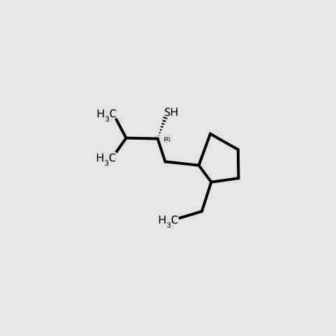 CCC1CCCC1C[C@@H](S)C(C)C